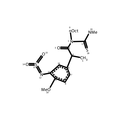 CCCCCCCCN(C(=O)C(C)c1ccc(OC)c(N=S(=O)=O)c1)C(=S)NC